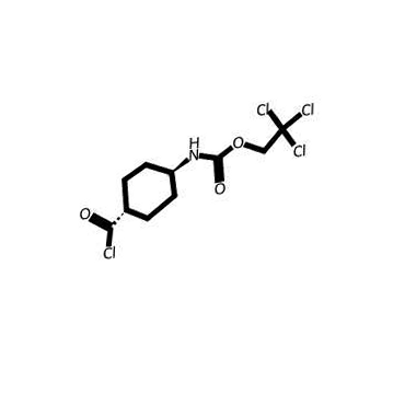 O=C(N[C@H]1CC[C@H](C(=O)Cl)CC1)OCC(Cl)(Cl)Cl